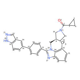 O=C(C1CC1)N1CC[C@@H](Cn2c(-c3ccc(-c4ccc5[nH]ncc5c4)cc3)nc3cccc(C(F)(F)F)c32)C1